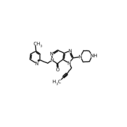 CC#CCn1c(N2CCNCC2)nc2cnn(Cc3cc(C)ccn3)c(=O)c21